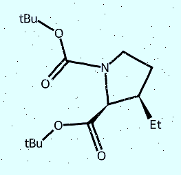 CC[C@@H]1CCN(C(=O)OC(C)(C)C)[C@@H]1C(=O)OC(C)(C)C